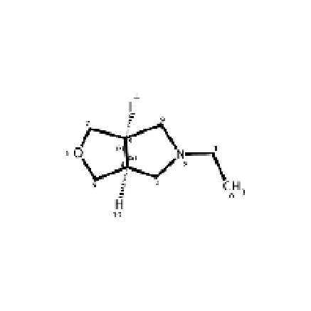 CCN1C[C@H]2COC[C@H]2C1